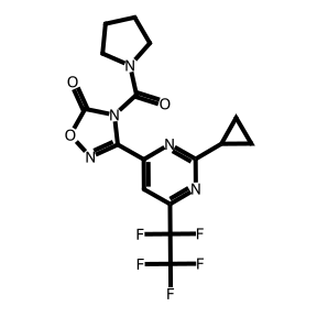 O=C(N1CCCC1)n1c(-c2cc(C(F)(F)C(F)(F)F)nc(C3CC3)n2)noc1=O